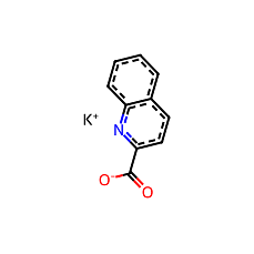 O=C([O-])c1ccc2ccccc2n1.[K+]